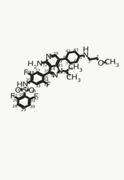 COCCNC1CCC(c2cnc(N)c3c(-c4cc(F)c(NS(=O)(=O)c5c(F)cccc5F)cc4F)nn(C(C)C)c23)CC1